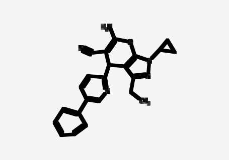 CCc1nn(C2CC2)c2c1C(c1ccc(-c3ccccc3)cn1)C(C#N)=C(N)O2